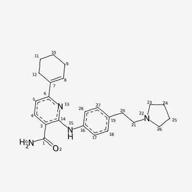 NC(=O)c1ccc(C2=CCCCC2)nc1Nc1ccc(CCN2CCCC2)cc1